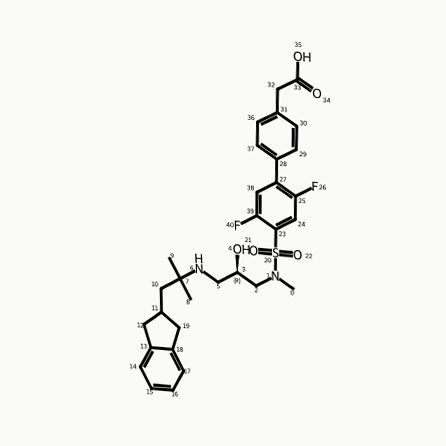 CN(C[C@H](O)CNC(C)(C)CC1Cc2ccccc2C1)S(=O)(=O)c1cc(F)c(-c2ccc(CC(=O)O)cc2)cc1F